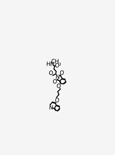 CNC(=O)CCC(C=O)N1C(=O)c2cccc(OCCCCOc3ccnc4ccccc34)c2C1=O